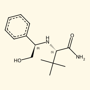 CC(C)(C)[C@H](N[C@@H](CO)c1ccccc1)C(N)=O